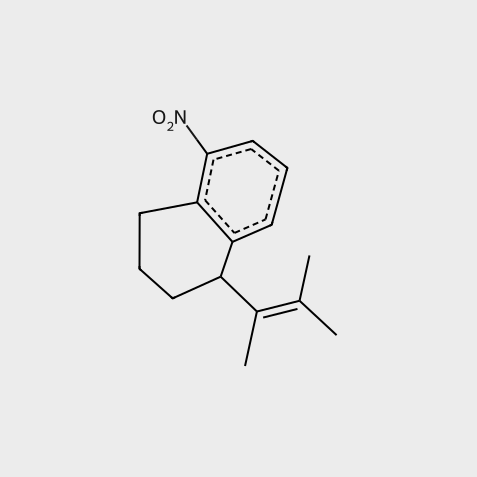 CC(C)=C(C)C1CCCc2c1cccc2[N+](=O)[O-]